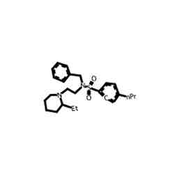 CCCc1ccc(S(=O)(=O)N(CCN2CCCCC2CC)Cc2ccccc2)cc1